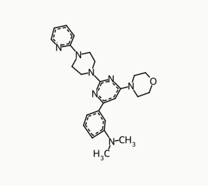 CN(C)c1cccc(-c2cc(N3CCOCC3)nc(N3CCN(c4ccccn4)CC3)n2)c1